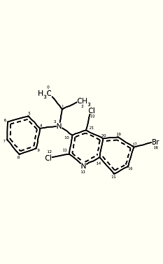 CC(C)N(c1ccccc1)c1c(Cl)nc2ccc(Br)cc2c1Cl